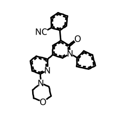 N#Cc1ccccc1-c1cc(-c2cccc(N3CCOCC3)n2)cn(-c2ccccc2)c1=O